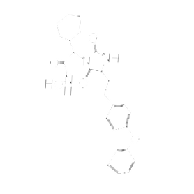 O=C(NO)C(C1CCCCC1)N1C(=O)NC(CCc2ccc(Oc3ccccc3)cc2)C1=O